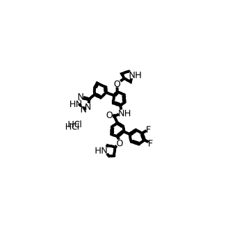 Cl.Cl.O=C(Nc1ccc(OC2CCNC2)c(-c2cccc(-c3nn[nH]n3)c2)c1)c1ccc(OC2CCNC2)c(-c2ccc(F)c(F)c2)c1